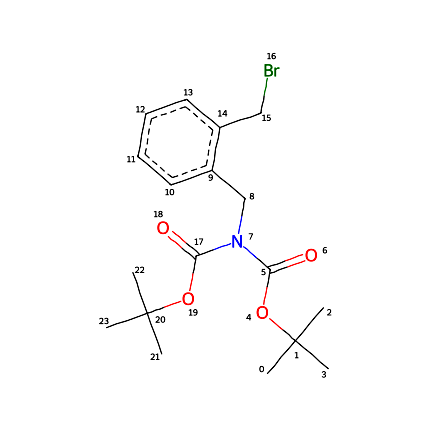 CC(C)(C)OC(=O)N(Cc1ccccc1CBr)C(=O)OC(C)(C)C